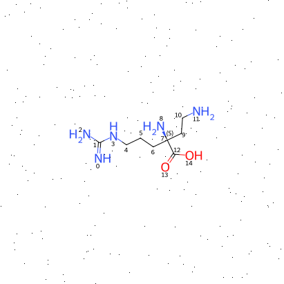 N=C(N)NCCC[C@](N)(CCN)C(=O)O